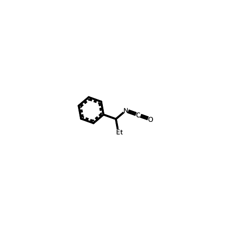 CCC(N=C=O)c1ccccc1